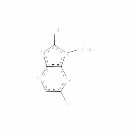 CCCCCn1c(O)nc2ncc(Br)nc21